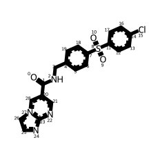 O=C(NCc1ccc(S(=O)(=O)c2ccc(Cl)cc2)cc1)c1cnc2nccn2c1